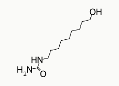 NC(=O)NCCCCCCCCCO